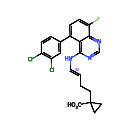 O=C(O)C1(CC/C=C/Nc2ncnc3c(F)ccc(-c4ccc(Cl)c(Cl)c4)c23)CC1